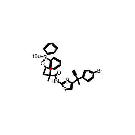 C#CC(C)(c1ccc(Br)cc1)c1csc(NC(=O)C2(C)CC(O[Si](c3ccccc3)(c3ccccc3)C(C)(C)C)C2)n1